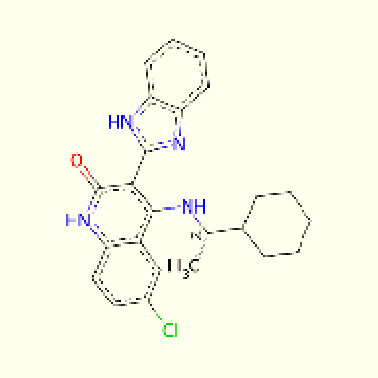 C[C@H](Nc1c(-c2nc3ccccc3[nH]2)c(=O)[nH]c2ccc(Cl)cc12)C1CCCCC1